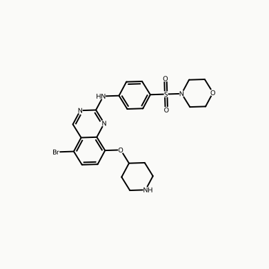 O=S(=O)(c1ccc(Nc2ncc3c(Br)ccc(OC4CCNCC4)c3n2)cc1)N1CCOCC1